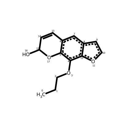 CCCOc1c2c(cc3ccoc13)C=CC(O)O2